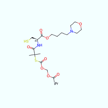 CC(C)C(=O)OCOC(=O)SC(C)(C)C(=O)N[C@@H](CS)C(=O)OCCCCN1CCOCC1